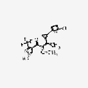 CON(C(=O)c1cn(C)nc1C(F)(F)F)C(C)C1CC1c1ccc(Cl)s1